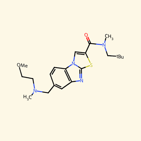 COCCN(C)Cc1ccc2c(c1)nc1sc(C(=O)N(C)CC(C)(C)C)cn12